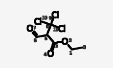 CCOC(=O)C(C=O)C(Cl)(Cl)Cl